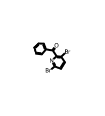 O=C(c1ccccc1)c1nc(Br)ccc1Br